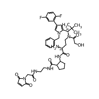 CC(C)(C)[C@H](c1cc(-c2cc(F)ccc2F)cn1Cc1ccccc1)N(CC[C@H](N)C(=O)NC1CCCC1C(=O)NCCNC(=O)CN1C(=O)C=CC1=O)C(=O)CO